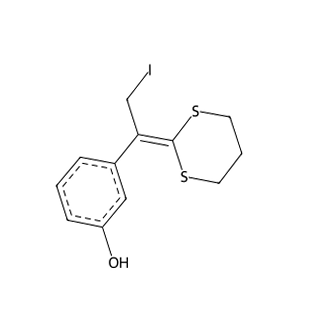 Oc1cccc(C(CI)=C2SCCCS2)c1